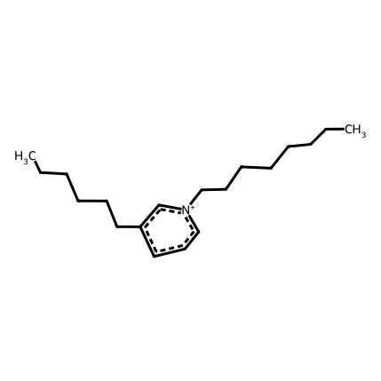 CCCCCCCC[n+]1cccc(CCCCCC)c1